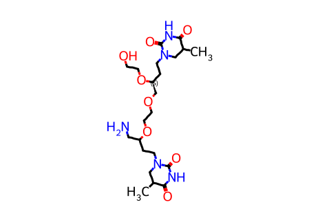 CC1CN(CCC(CN)OCCOC[C@H](CCN2CC(C)C(=O)NC2=O)OCCO)C(=O)NC1=O